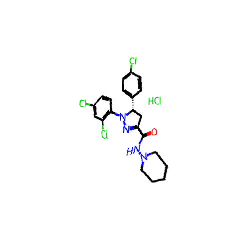 Cl.O=C(NN1CCCCC1)C1=NN(c2ccc(Cl)cc2Cl)[C@H](c2ccc(Cl)cc2)C1